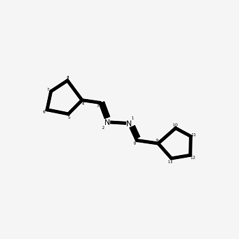 C(=NN=CC1CCCC1)C1CCCC1